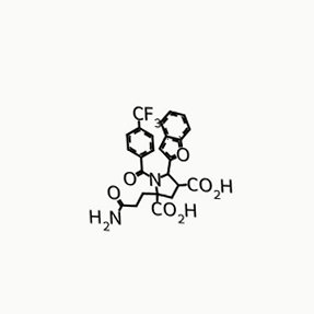 NC(=O)CCC1(C(=O)O)CC(C(=O)O)C(c2cc3ccccc3o2)N1C(=O)c1ccc(C(F)(F)F)cc1